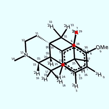 [2H]c1c([2H])c2c(c([2H])c1OC)[C@@]13CCN(C)[C@@]([2H])(C2([2H])[2H])[C@@]1([2H])C([2H])([2H])C([2H])(C)C([2H])([2H])C3([2H])[2H]